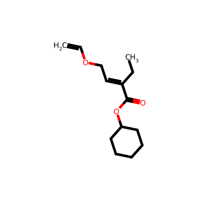 C=COCC=C(CC)C(=O)OC1CCCCC1